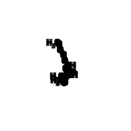 COCCOCCOCCOCCNC(=O)CN1C[C@]2(CC[C@@](c3ccccc3)(N(C)C)CC2)NC1=O